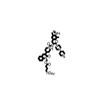 CCCCCCCCCCCCCC(=O)OCn1c(=O)c(C2CCN(C(=O)NC(Cc3cc(C)c4[nH]ncc4c3)C(=O)N3CCN(C4CCN(C)CC4)CC3)CC2)cc2ccccc21